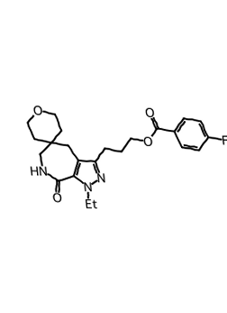 CCn1nc(CCCOC(=O)c2ccc(F)cc2)c2c1C(=O)NCC1(CCOCC1)C2